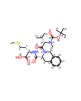 CSCC[C@H](NC(=O)[C@H]1Cc2ccccc2CN1C(=O)[C@H](C(C)C)N(C)C(=O)OC(C)(C)C)C(=O)O